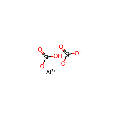 O=[Si]([O-])O.O=[Si]([O-])[O-].[Al+3]